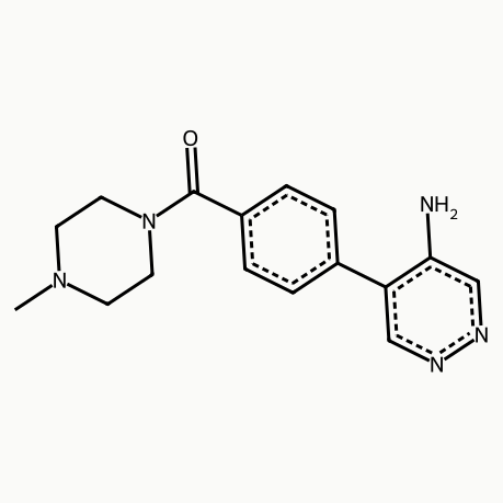 CN1CCN(C(=O)c2ccc(-c3cnncc3N)cc2)CC1